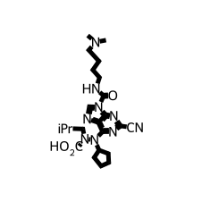 CC(C)CN(C(=O)O)N(c1nc(C#N)nc2c1ncn2C(=O)NCCCCN(C)C)C1CCCC1